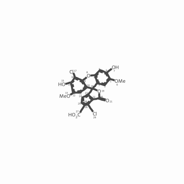 COc1cc2c(cc1O)Oc1c(cc(OC)c(O)c1Cl)C21OC(=O)c2c1ccc(C(=O)O)c2Cl